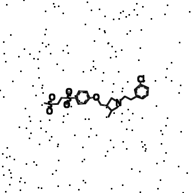 CC1CN(CCc2cccc(Cl)c2)CC1COc1ccc(S(=O)(=O)CCS(C)(=O)=O)cc1